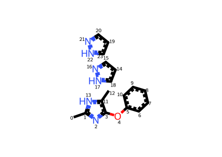 Cc1nc(Oc2ccccc2)c(C)[nH]1.c1cn[nH]c1.c1cn[nH]c1